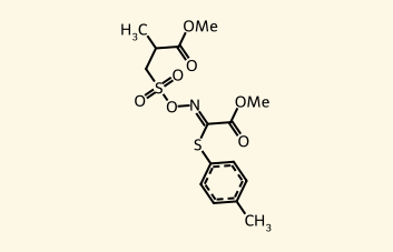 COC(=O)/C(=N/OS(=O)(=O)CC(C)C(=O)OC)Sc1ccc(C)cc1